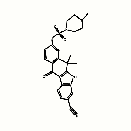 CN1CCN(S(=O)(=O)Oc2ccc3c(c2)C(C)(C)c2[nH]c4cc(C#N)ccc4c2C3=O)CC1